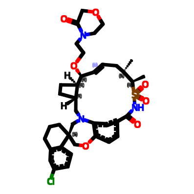 C[C@@H]1[C@@H](C)C/C=C/[C@H](OCCN2CCOCC2=O)[C@@H]2CC[C@H]2CN2C[C@@]3(CCCc4cc(Cl)ccc43)COc3ccc(cc32)C(=O)NS1(=O)=O